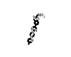 Cc1ccc(N2CCN(c3ncc(-c4cccc(CN(C)C(=O)CN)c4)cn3)CC2)nc1